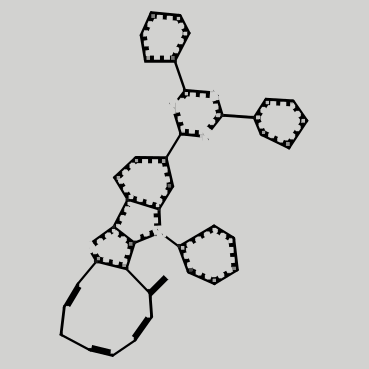 C=C1/C=C\C=C/C/C=C\c2sc3c4ccc(-c5nc(-c6ccccc6)nc(-c6ccccc6)n5)cc4n(-c4ccccc4)c3c21